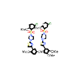 COc1ccc(-c2csc(N3CCN(S(=O)(=O)c4cc(Cl)ccc4OC)CC3)n2)cc1OC.COc1ccc(OC)c(-c2csc(N3CCN(S(=O)(=O)c4cc(Cl)ccc4OC)CC3)n2)c1